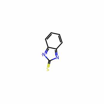 S=C1N=c2ccccc2=[N+]1